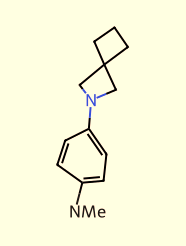 CNc1ccc(N2CC3(CCC3)C2)cc1